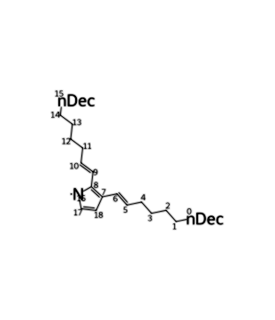 CCCCCCCCCCCCCCC=CC1=C(C=CCCCCCCCCCCCCCC)[N]C=C1